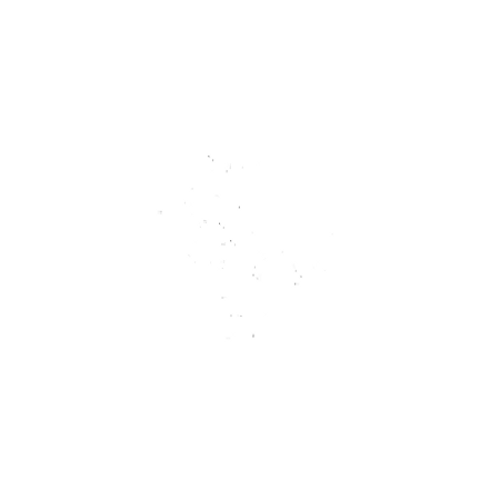 Cc1cc(C(=O)NC(CC23CC(C2)C3)C(=O)NN(C[C@@H]2CCNC2=O)C(=O)C(F)Cl)no1